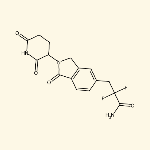 NC(=O)C(F)(F)Cc1ccc2c(c1)CN(C1CCC(=O)NC1=O)C2=O